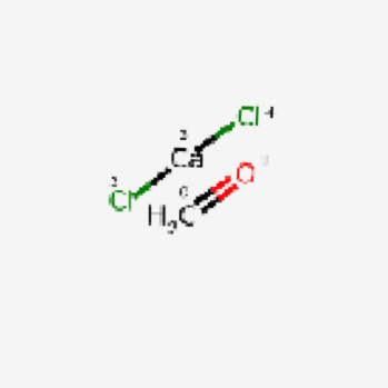 C=O.[Cl][Ca][Cl]